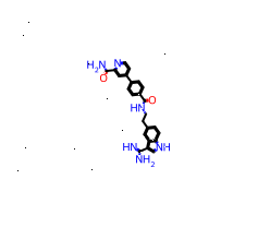 N=C(N)c1c[nH]c2ccc(CCNC(=O)c3ccc(-c4ccnc(C(N)=O)c4)cc3)cc12